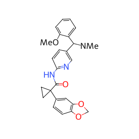 CNC(c1ccc(NC(=O)C2(c3ccc4c(c3)OCO4)CC2)nc1)c1ccccc1OC